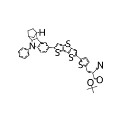 CC(C)(C)OC(=O)/C(C#N)=C/c1ccc(-c2cc3sc4cc(-c5ccc6c(c5)C5C(C7CC[C@H]5C7)N6c5ccccc5)sc4c3s2)s1